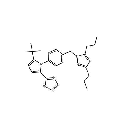 CCCc1nc(CCC)n(Cc2ccc(-n3c(-c4nnn[nH]4)ccc3C(C)(C)C)cc2)n1